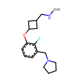 O=CNCC1CC(Oc2cccc(CN3CCCC3)c2F)C1